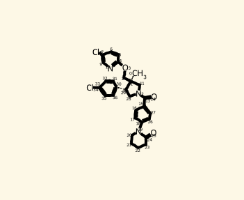 C[C@]1(COc2ccc(Cl)cn2)CN(C(=O)c2ccc(N3CCCCC3=O)cc2)C[C@@H]1c1ccc(Cl)cc1